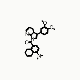 COc1ccc(C2=CN(C(=O)c3ccc(N(C)C)c4c3CCC=C4)C3=NC=CCC23)cc1OC